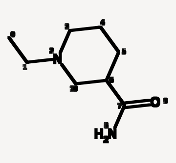 CCN1CCCC(C(N)=O)C1